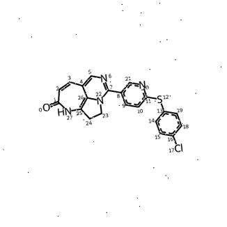 O=C1C=CC2=CN=C(c3ccc(Sc4ccc(Cl)cc4)nc3)N3CCC(=C23)N1